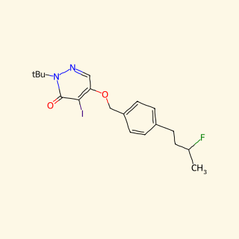 CC(F)CCc1ccc(COc2cnn(C(C)(C)C)c(=O)c2I)cc1